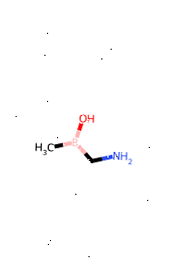 CB(O)CN